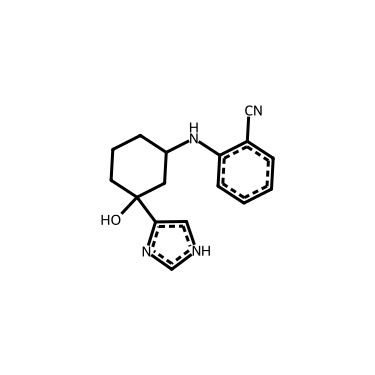 N#Cc1ccccc1NC1CCCC(O)(c2c[nH]cn2)C1